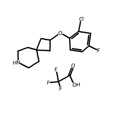 Fc1ccc(OC2CC3(CCNCC3)C2)c(Cl)c1.O=C(O)C(F)(F)F